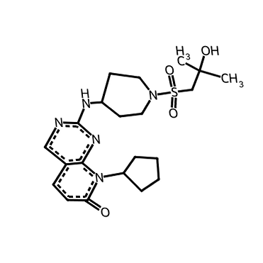 CC(C)(O)CS(=O)(=O)N1CCC(Nc2ncc3ccc(=O)n(C4CCCC4)c3n2)CC1